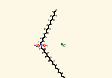 CCCCCCCCCCCCCCCCCC[N+](O)(O)CCCCCCCCCCCCCCCC.[Br-]